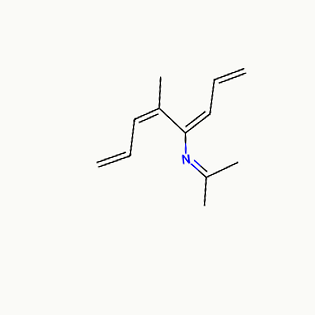 C=C/C=C(C)\C(=C/C=C)N=C(C)C